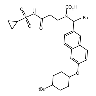 CC(C)(C)C1CCC(Oc2ccc3cc(C(N(CCC(=O)NS(=O)(=O)C4CC4)C(=O)O)C(C)(C)C)ccc3c2)CC1